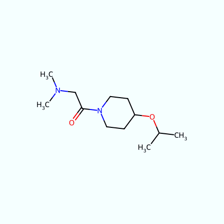 CC(C)OC1CCN(C(=O)CN(C)C)CC1